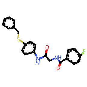 O=C(CNC(=O)c1ccc(F)cc1)Nc1ccc(SCc2ccccc2)cc1